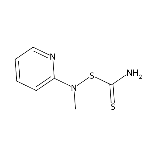 CN(SC(N)=S)c1ccccn1